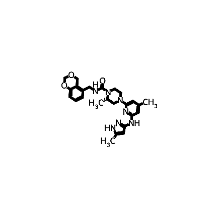 Cc1cc(Nc2cc(C)[nH]n2)nc(N2CCN(C(=O)NCc3cccc4c3COCO4)[C@@H](C)C2)c1